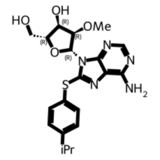 CO[C@@H]1[C@H](O)[C@@H](CO)O[C@H]1n1c(Sc2ccc(C(C)C)cc2)nc2c(N)ncnc21